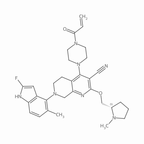 C=CC(=O)N1CCN(c2c(C#N)c(OC[C@@H]3CCCN3C)nc3c2CCN(c2c(C)ccc4[nH]c(F)cc24)C3)CC1